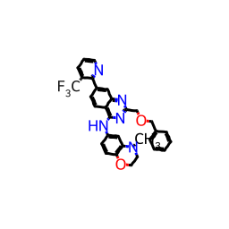 CN1CCOc2ccc(Nc3nc(COCc4ccccc4)nc4cc(-c5ncccc5C(F)(F)F)ccc34)cc21